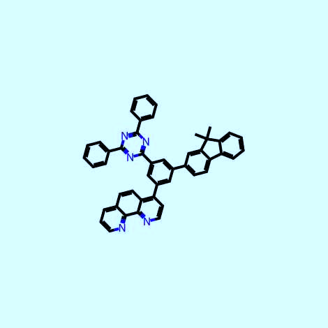 CC1(C)c2ccccc2-c2ccc(-c3cc(-c4nc(-c5ccccc5)nc(-c5ccccc5)n4)cc(-c4ccnc5c4ccc4cccnc45)c3)cc21